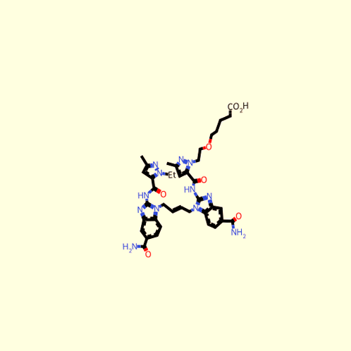 CCn1nc(C)cc1C(=O)Nc1nc2cc(C(N)=O)ccc2n1C/C=C/Cn1c(NC(=O)c2cc(C)nn2CCOCCCCC(=O)O)nc2cc(C(N)=O)ccc21